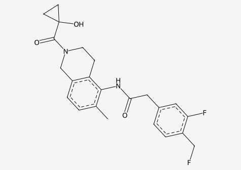 Cc1ccc2c(c1NC(=O)Cc1ccc(CF)c(F)c1)CCN(C(=O)C1(O)CC1)C2